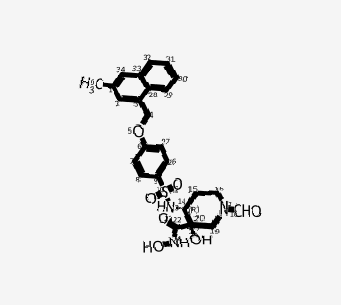 Cc1cc(COc2ccc(S(=O)(=O)N[C@@H]3CCN(C=O)C[C@]3(O)C(=O)NO)cc2)c2ccccc2c1